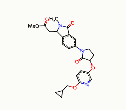 COC(=O)CC1c2ccc(N3CC[C@@H](Oc4ccc(OCC5CC5)nc4)C3=O)cc2C(=O)N1C